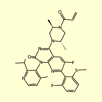 C=CC(=O)N1C[C@H](C)N(c2nc(=O)n(-c3c(C)ccnc3C(C)C)c3nc(-c4c(F)cccc4SC)c(F)cc23)C[C@H]1C